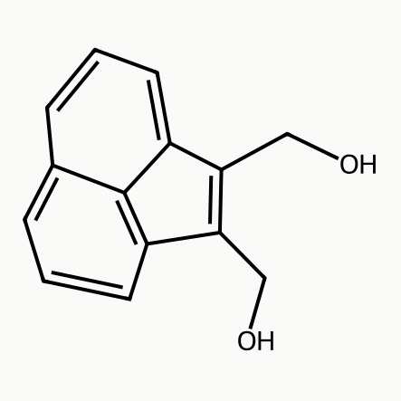 OCC1=C(CO)c2cccc3cccc1c23